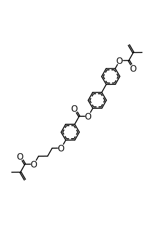 C=C(C)C(=O)OCCCOc1ccc(C(=O)Oc2ccc(-c3ccc(OC(=O)C(=C)C)cc3)cc2)cc1